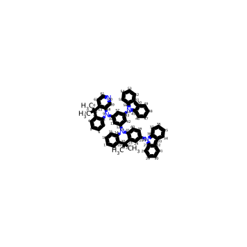 CC1(C)c2ccccc2N(c2cc(N3c4ccccc4C(C)(C)c4cc(-n5c6ccccc6c6ccccc65)ccc43)cc(-n3c4ccccc4c4ccccc43)c2)c2cnccc21